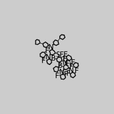 Fc1cccc(F)c1N(c1ccccc1)c1cc2c3c(c1)N(c1ccccc1C(F)(F)F)c1c(cc4c(c1C(F)(F)F)Sc1cc(N(c5ccc(-c6ccccc6)cc5)c5ccc(-c6ccccc6)cc5)cc5c1B4c1ccccc1N5c1c(F)cccc1F)B3c1ccccc1N2c1c(F)cccc1F